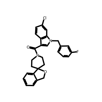 O=C(c1cn(Cc2cccc(F)c2)c2cc(Cl)ccc12)N1CCC2(CC1)OCc1ccccc12